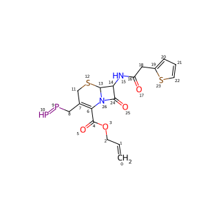 C=CCOC(=O)C1=C(CP=P)CSC2C(NC(=O)Cc3cccs3)C(=O)N12